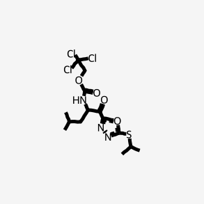 CC(C)CC(NC(=O)OCC(Cl)(Cl)Cl)C(=O)c1nnc(SC(C)C)o1